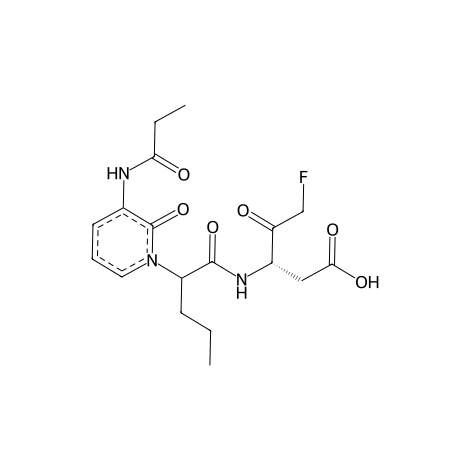 CCCC(C(=O)N[C@@H](CC(=O)O)C(=O)CF)n1cccc(NC(=O)CC)c1=O